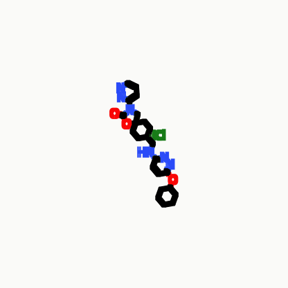 Cl.O=C1OC2(CCC(CNc3ccc(OC4CCCCC4)nn3)CC2)CN1c1cccnn1